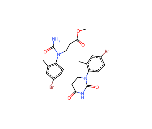 COC(=O)CCN(C(N)=O)c1ccc(Br)cc1C.Cc1cc(Br)ccc1N1CCC(=O)NC1=O